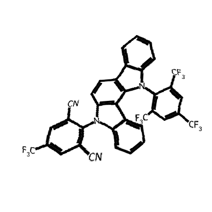 N#Cc1cc(C(F)(F)F)cc(C#N)c1-n1c2ccccc2c2c1ccc1c3ccccc3n(-c3c(C(F)(F)F)cc(C(F)(F)F)cc3C(F)(F)F)c12